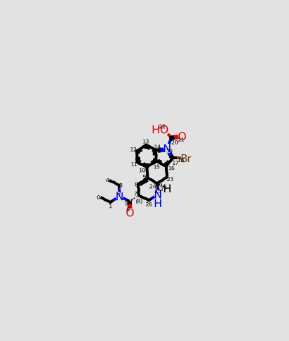 CCN(CC)C(=O)[C@@H]1C=C2c3cccc4c3c(c(Br)n4C(=O)O)C[C@H]2NC1